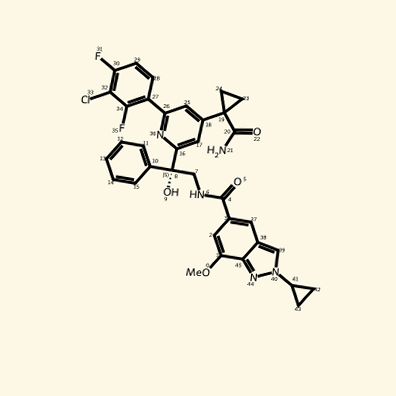 COc1cc(C(=O)NC[C@@](O)(c2ccccc2)c2cc(C3(C(N)=O)CC3)cc(-c3ccc(F)c(Cl)c3F)n2)cc2cn(C3CC3)nc12